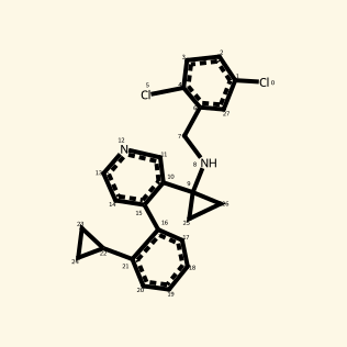 Clc1ccc(Cl)c(CNC2(c3cnccc3-c3ccccc3C3CC3)CC2)c1